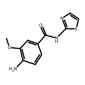 COc1cc(C(=O)Nc2nccs2)ccc1N